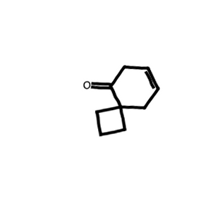 O=C1CC=CCC12CCC2